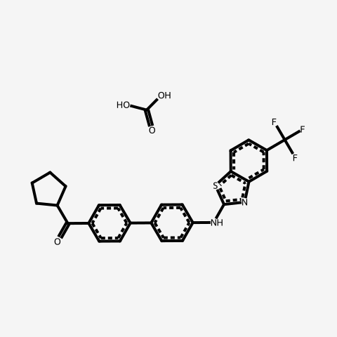 O=C(O)O.O=C(c1ccc(-c2ccc(Nc3nc4cc(C(F)(F)F)ccc4s3)cc2)cc1)C1CCCC1